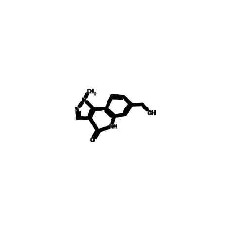 Cn1ncc2c(=O)[nH]c3cc(CO)ccc3c21